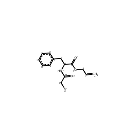 C=CCOC(=O)C(Cc1ccccc1)NC(=O)CBr